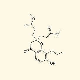 CCCc1c(O)ccc2c1OC(CCC(=O)OC)(CCC(=O)OC)CC2=O